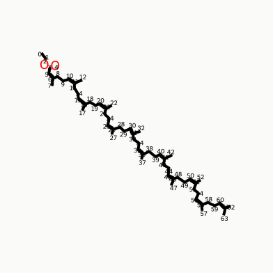 CCOC(=O)C=C(C)CCC=C(C)CCC=C(C)CCC=C(C)CCC=C(C)CCC=C(C)CCC=C(C)CCC=C(C)CCC=C(C)CCC=C(C)CCC=C(C)CCC=C(C)C